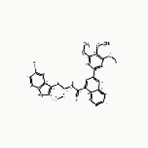 COc1cc(-c2cc(C(=O)N[C@H](CO)Cc3c[nH]c4ccc(F)cc34)c3ccccc3n2)cc(OC)c1OC